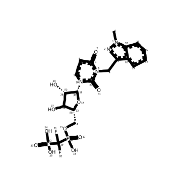 Cn1nc(Cn2c(=O)ccn([C@@H]3O[C@H](COP(=O)(O)C(F)(F)P(=O)(O)O)C(O)[C@@H]3O)c2=O)c2ccccc21